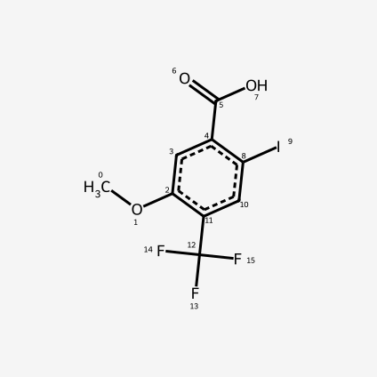 COc1cc(C(=O)O)c(I)cc1C(F)(F)F